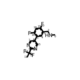 CNCc1cc(-c2cnc(C(C)(F)F)nc2)c(F)cc1F